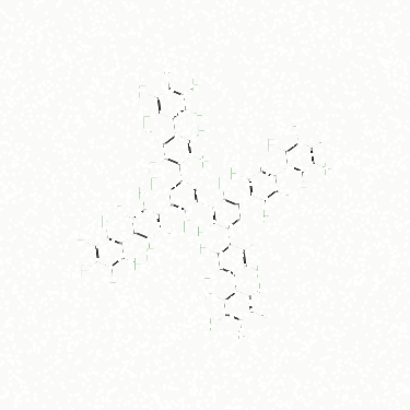 Fc1c(F)c(F)c(-c2c(F)c(F)c(-c3cc(-c4c(F)c(F)c(-c5c(F)c(F)c(F)c(F)c5F)c(F)c4F)c(F)c(-c4cc(-c5c(F)c(F)c(-c6c(F)c(F)c(F)c(F)c6F)c(F)c5F)c(F)c(-c5c(F)c(F)c(-c6c(F)c(F)c(F)c(F)c6F)c(F)c5F)c4F)c3F)c(F)c2F)c(F)c1F